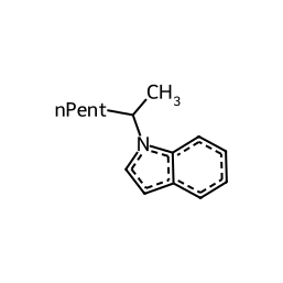 CCCCCC(C)n1ccc2ccccc21